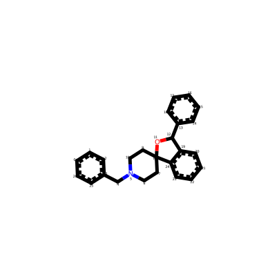 c1ccc(CN2CCC3(CC2)OC(c2ccccc2)c2ccccc23)cc1